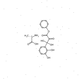 C[C@H](N)C(=O)O.O=C(Oc1ccccc1)C(=O)C(O)(O)c1cccc(O)c1O